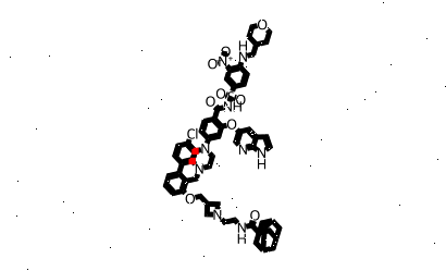 O=C(NS(=O)(=O)c1ccc(NCC2CCOCC2)c([N+](=O)[O-])c1)c1ccc(N2CCN(Cc3c(OCC4CN(CCNC(=O)C56CC7CC(CC(C7)C5)C6)C4)cccc3-c3ccc(Cl)cc3)CC2)cc1Oc1cnc2[nH]ccc2c1